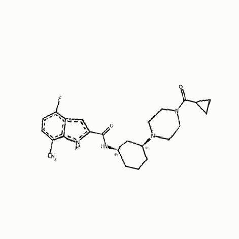 Cc1ccc(F)c2cc(C(=O)N[C@@H]3CCC[C@H](N4CCN(C(=O)C5CC5)CC4)C3)[nH]c12